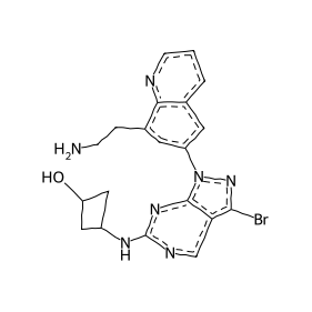 NCCc1cc(-n2nc(Br)c3cnc(NC4CC(O)C4)nc32)cc2cccnc12